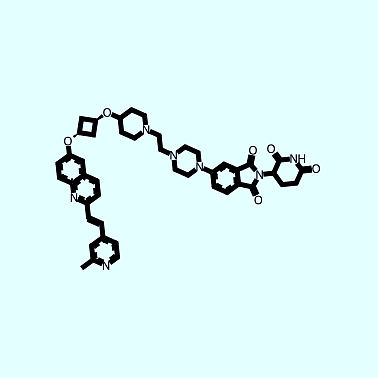 Cc1cc(/C=C/c2ccc3cc(O[C@H]4C[C@H](OC5CCN(CCN6CCN(c7ccc8c(c7)C(=O)N(C7CCC(=O)NC7=O)C8=O)CC6)CC5)C4)ccc3n2)ccn1